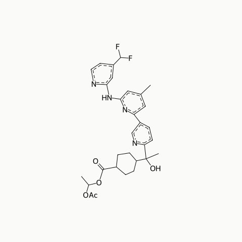 CC(=O)OC(C)OC(=O)C1CCC(C(C)(O)c2ccc(-c3cc(C)cc(Nc4cc(C(F)F)ccn4)n3)cn2)CC1